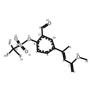 C=C(/C=C(\C)c1ccc(OS(=O)(=O)C(F)(F)F)c(C=O)c1)OC